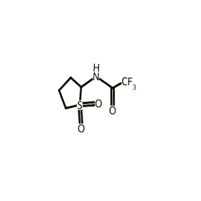 O=C(NC1CCCS1(=O)=O)C(F)(F)F